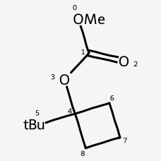 COC(=O)OC1(C(C)(C)C)CCC1